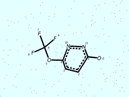 [O]c1ccc(OC(F)(F)F)nn1